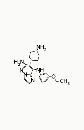 CCOc1cccc(Nc2c3nccn3nc(N)c2[C@H]2CC[C@H](N)CC2)c1